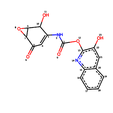 O=C(NC1=CC(=O)C2OC2C1O)Oc1nc2ccccc2cc1O